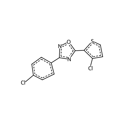 Clc1ccc(-c2noc(-c3sccc3Cl)n2)cc1